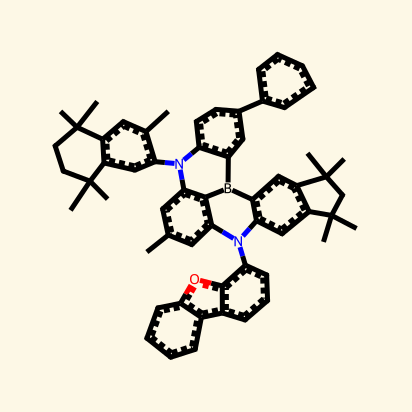 Cc1cc2c3c(c1)N(c1cccc4c1oc1ccccc14)c1cc4c(cc1B3c1cc(-c3ccccc3)ccc1N2c1cc2c(cc1C)C(C)(C)CCC2(C)C)C(C)(C)CC4(C)C